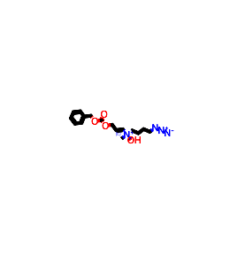 C[N+](O)(/C=C/COC(=O)OCc1ccccc1)CCCCN=[N+]=[N-]